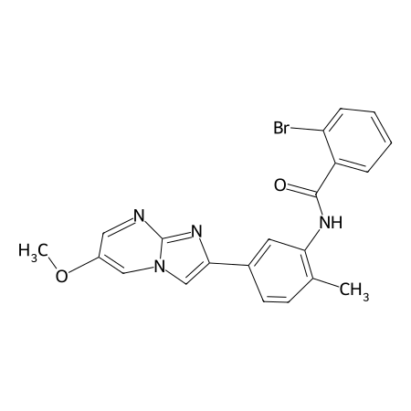 COc1cnc2nc(-c3ccc(C)c(NC(=O)c4ccccc4Br)c3)cn2c1